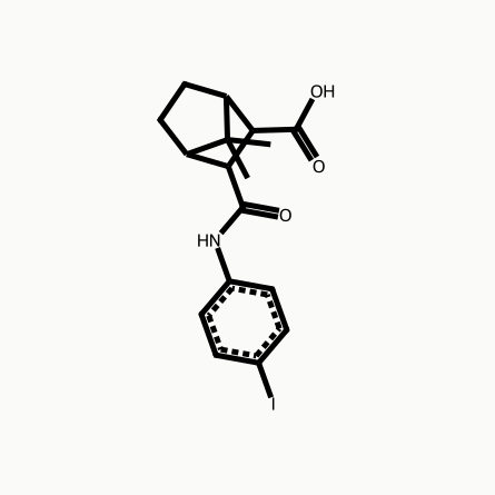 CC1(C)C2CCC1C(C(=O)Nc1ccc(I)cc1)C2C(=O)O